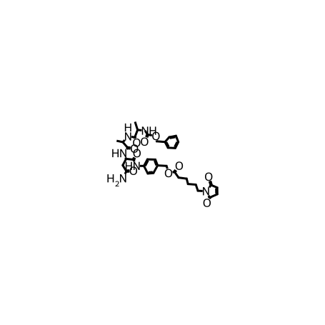 CC(NC(=O)OCc1ccccc1)C(=O)NC(C)C(=O)NC(CC(N)=O)C(=O)Nc1ccc(COC(=O)CCCCCN2C(=O)C=CC2=O)cc1